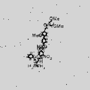 COCCN(CCOC)C(=O)CCc1ccc(-c2ccc(C(=O)NS(=O)(=O)c3ccc(N[C@@H](CSc4ccccc4)CC(=O)N(C)C)c([N+](=O)[O-])c3)cc2)c(OC)c1